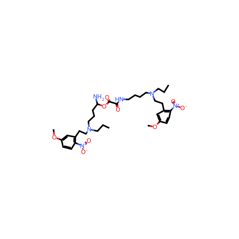 CCCN(CCCCNC(=O)C(=O)OC(N)CCCN(CCC)CCc1cc(OC)ccc1[N+](=O)[O-])CCc1cc(OC)ccc1[N+](=O)[O-]